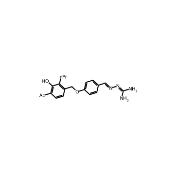 CCCc1c(COc2ccc(C=NN=C(N)N)cc2)ccc(C(C)=O)c1O